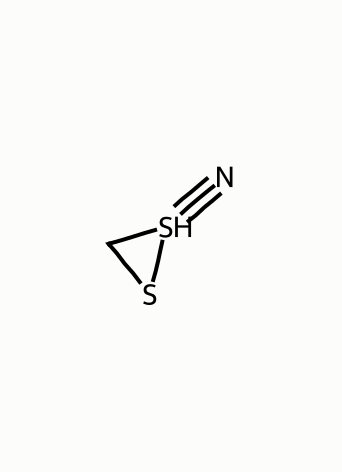 N#[SH]1CS1